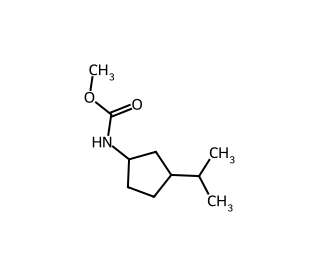 COC(=O)NC1CCC(C(C)C)C1